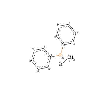 CCC.c1ccc([P]c2ccccc2)cc1